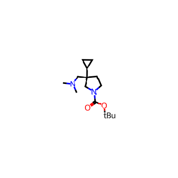 CN(C)CC1(C2CC2)CCN(C(=O)OC(C)(C)C)C1